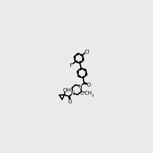 C[C@H]1CN(C(=O)C2(O)CC2)CCN1C(=O)c1ccc(-c2cc(Cl)ccc2F)cc1